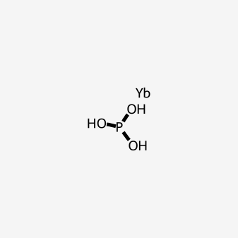 OP(O)O.[Yb]